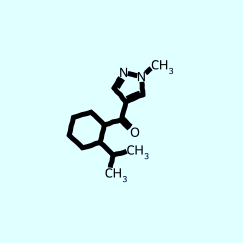 CC(C)C1CCCCC1C(=O)c1cnn(C)c1